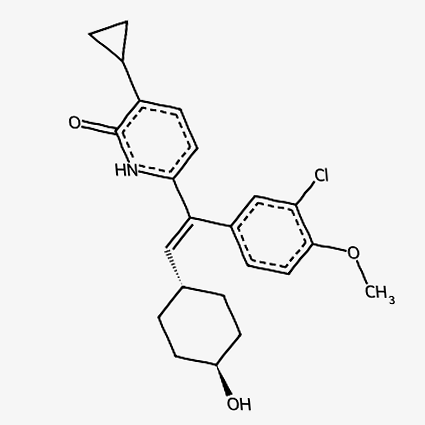 COc1ccc(/C(=C\[C@H]2CC[C@H](O)CC2)c2ccc(C3CC3)c(=O)[nH]2)cc1Cl